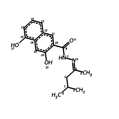 CC(CC(C)C)=NNC(=O)c1cc2cccc(O)c2cc1O